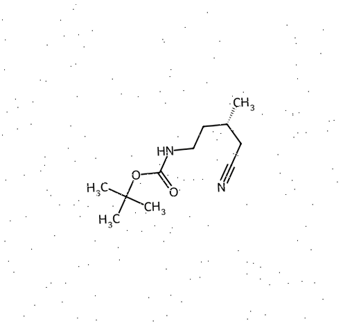 C[C@H](CC#N)CCNC(=O)OC(C)(C)C